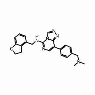 CN(C)Cc1ccc(-c2cnc(NCc3cccc4c3CCO4)n3cnnc23)cc1